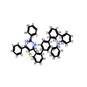 c1ccc(-c2nc(-c3ccccc3)c3sc4cccc(-c5ccc(-c6cccc7c8ccccc8n(-c8ccccc8)c67)cc5)c4c3n2)cc1